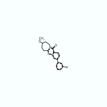 COC1CCc2nc3cc(-c4cccc(F)c4)ccc3c(=O)n2CC1